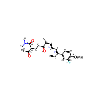 C=C/C(=C\C=C\C(C)C(=O)CCC(C(=O)CC)C(=O)N(C)C)c1ccc(OC)c(F)c1